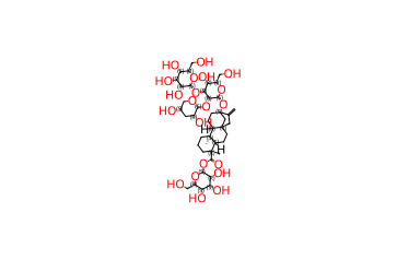 C=C1C[C@@]23CC[C@H]4[C@@](C)(CCC[C@@]4(C)C(=O)O[C@@H]4O[C@H](CO)[C@@H](O)[C@H](O)[C@H]4O)[C@@H]2CC[C@]1(O[C@@H]1O[C@H](CO)[C@@H](O)[C@H](O[C@@H]2O[C@H](CO)[C@@H](O)[C@H](O)[C@H]2O)[C@H]1O[C@@H]1OC[C@@H](O)C[C@H]1O)C3